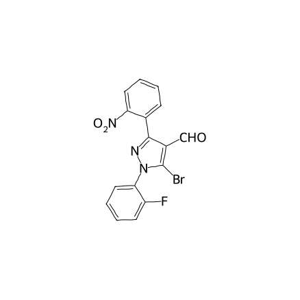 O=Cc1c(-c2ccccc2[N+](=O)[O-])nn(-c2ccccc2F)c1Br